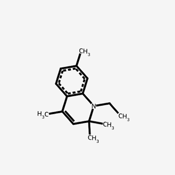 CCN1c2cc(C)ccc2C(C)=CC1(C)C